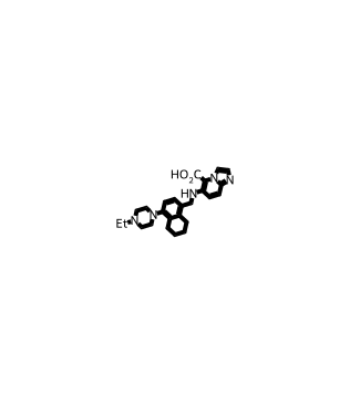 CCN1CCN(c2ccc(CNc3ccc4nccn4c3C(=O)O)c3c2CCCC3)CC1